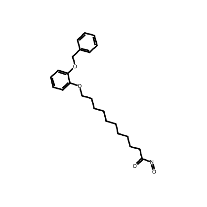 O=NC(=O)CCCCCCCCCCOc1ccccc1OCc1ccccc1